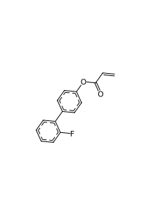 C=CC(=O)Oc1ccc(-c2ccccc2F)cc1